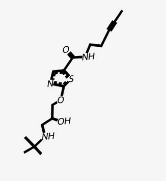 CC#CCCNC(=O)c1cnc(OCC(O)CNC(C)(C)C)s1